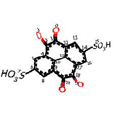 O=c1c(=O)c2cc(S(=O)(=O)O)cc3c2-c2c1cc(S(=O)(=O)O)cc2c(=O)c3=O